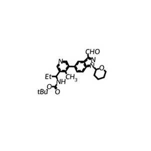 CCC(NC(=O)OC(C)(C)C)c1cncc(-c2ccc3c(c2)c(C=O)nn3C2CCCCO2)c1C